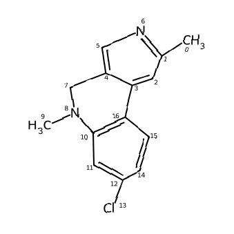 Cc1cc2c(cn1)CN(C)c1cc(Cl)ccc1-2